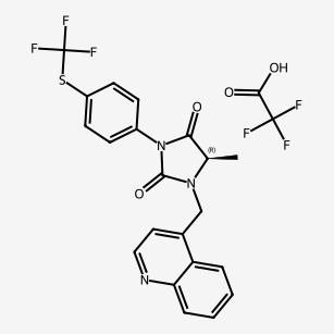 C[C@@H]1C(=O)N(c2ccc(SC(F)(F)F)cc2)C(=O)N1Cc1ccnc2ccccc12.O=C(O)C(F)(F)F